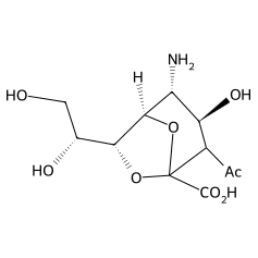 CC(=O)C1[C@H](O)[C@@H](N)[C@H]2OC1(C(=O)O)O[C@@H]2[C@H](O)CO